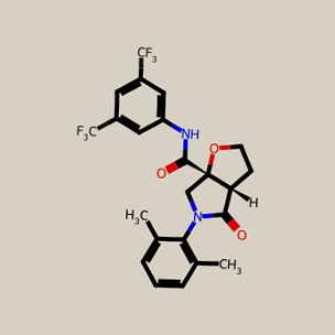 Cc1cccc(C)c1N1C[C@]2(C(=O)Nc3cc(C(F)(F)F)cc(C(F)(F)F)c3)OCC[C@@H]2C1=O